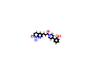 O=C1CCc2cc(C=CC(=O)N3CC=C(c4ccccc4O)CC3)cnc2N1